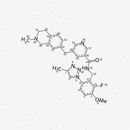 COc1ccc(-n2cc(C)nn2)c(CNC(=O)c2cncc(Cc3ccc4c(c3)CN(C)CC4)c2)c1F